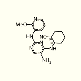 COc1ncccc1Nc1ncc(N)c(N[C@@H]2CCCC[C@H]2C#N)n1